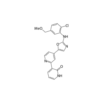 COCc1ccc(Cl)c(Nc2ncc(-c3ccnc(-c4ccc[nH]c4=O)c3)o2)c1